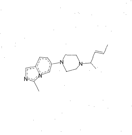 CC=CC(C)N1CCN(c2ccc3cnc(C)n3c2)CC1